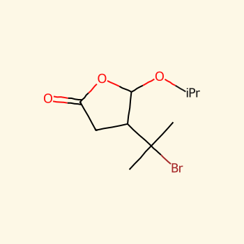 CC(C)OC1OC(=O)CC1C(C)(C)Br